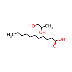 CC(O)CO.CCCCCCCCCCC(=O)O